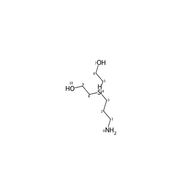 NCCC[SiH](CCO)CCO